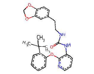 CC(C)(C)c1ccccc1Oc1ncccc1NC(=O)NCCc1ccc2c(c1)OCO2